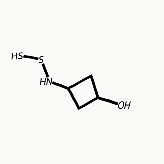 OC1CC(NSS)C1